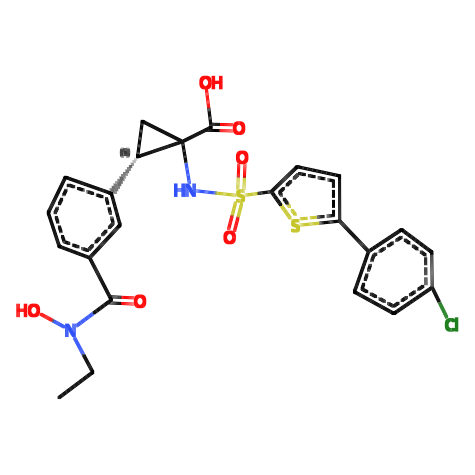 CCN(O)C(=O)c1cccc([C@@H]2CC2(NS(=O)(=O)c2ccc(-c3ccc(Cl)cc3)s2)C(=O)O)c1